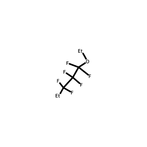 CCOC(F)(F)C(F)(F)C(F)(F)CC